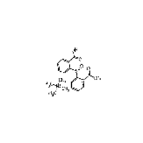 C[N+](C)(C)C.O=C(O)c1ccccc1[S+]([O-])c1ccccc1C(=O)O